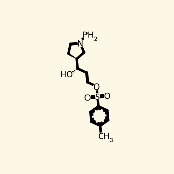 Cc1ccc(S(=O)(=O)OCC[C@H](O)[C@H]2CCN(P)C2)cc1